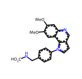 COc1cc2ncc3ccn(-c4ccc(CNC(=O)O)cc4)c3c2cc1OC